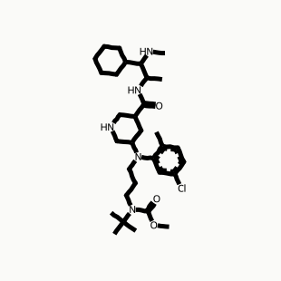 CNC(C1CCCCC1)C(C)NC(=O)C1CNCC(N(CCCN(C(=O)OC)C(C)(C)C)c2cc(Cl)ccc2C)C1